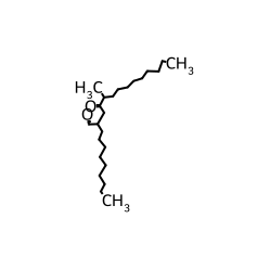 CCCCCCCCCC(C=O)CC(=O)C(C)CCCCCCCCC